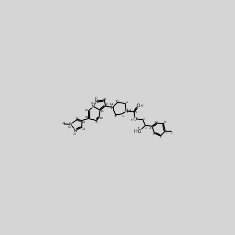 Cc1ccc(C(O)COC(=O)N2CCN(c3cnn4cc(-c5cnn(C)c5)ccc34)CC2)cc1